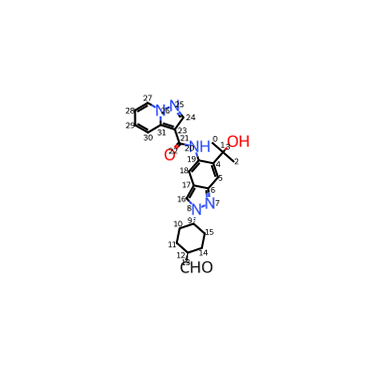 CC(C)(O)c1cc2nn([C@H]3CC[C@H](C=O)CC3)cc2cc1NC(=O)c1cnn2ccccc12